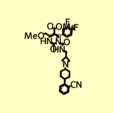 COCC1=C(C(=O)OC)[C@H](c2ccc(F)c(F)c2)N(C(=O)NCC2CN(C3CCC(c4ccccc4C#N)CC3)C2)C(=O)N1